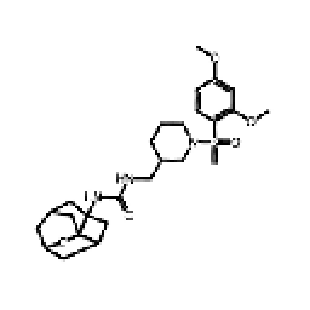 C=S(=O)(c1ccc(OC)cc1OC)N1CCCC(CNC(=O)NC23CC4CC5CC(C2)C3(C5)C4)C1